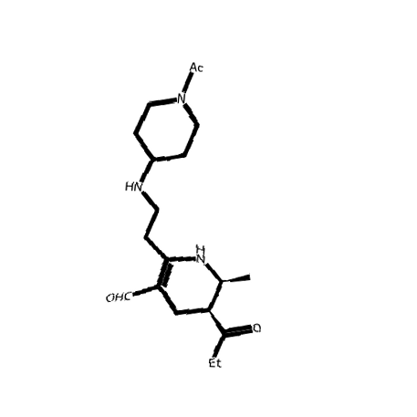 CCC(=O)[C@H]1CC(C=O)=C(CCNC2CCN(C(C)=O)CC2)N[C@H]1C